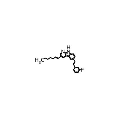 CCCCCC=Cc1cnc2[nH]c3ccc(C=Cc4cccc(F)c4)cc3c2c1